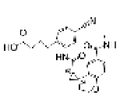 CNC(=O)c1ccc2c(c1)[C@]1(CCO2)C[C@H]1C(=O)Nc1cc(C#N)ccc1CCCC(=O)O